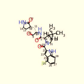 CC1(C)[C@@H]2[C@@H](C(=O)N[C@H](C=O)C[C@@H]3CCNC3=O)N(C(=O)c3cc4c(F)cccc4[nH]3)C[C@@H]21